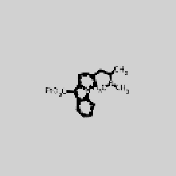 CCOC(=O)c1c2ccccc2n2cc(CC(C)N(C)C)ccc12